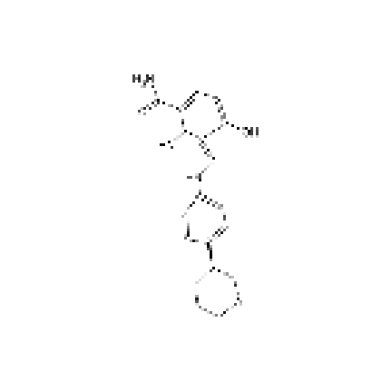 N=C1C(C(N)=O)=CC=C(O)/C1=C/Nc1ccc([C@@H]2CCCNC2)cc1